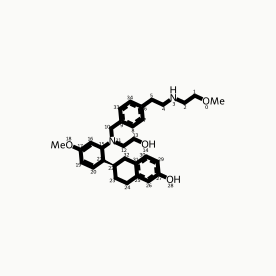 COCCNCCc1ccc(CN(CCO)C2C=C(OC)C=CC2[C@@H]2CCc3cc(O)ccc3C2)cc1